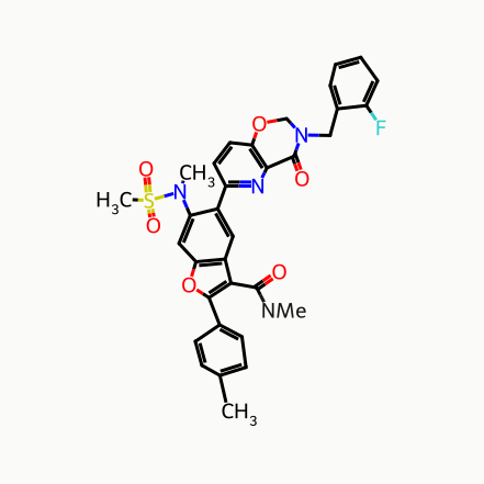 CNC(=O)c1c(-c2ccc(C)cc2)oc2cc(N(C)S(C)(=O)=O)c(-c3ccc4c(n3)C(=O)N(Cc3ccccc3F)CO4)cc12